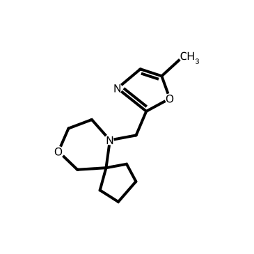 Cc1cnc(CN2CCOCC23CCCC3)o1